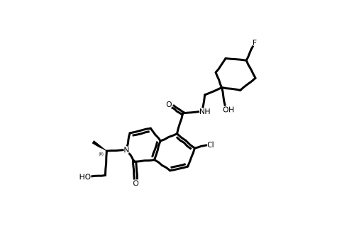 C[C@H](CO)n1ccc2c(C(=O)NCC3(O)CCC(F)CC3)c(Cl)ccc2c1=O